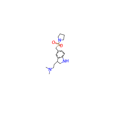 CN(C)CCC1CNc2ccc(CS(=O)(=O)N3CCCC3)cc21